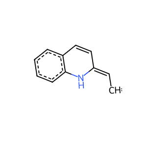 [CH]C=C1C=Cc2ccccc2N1